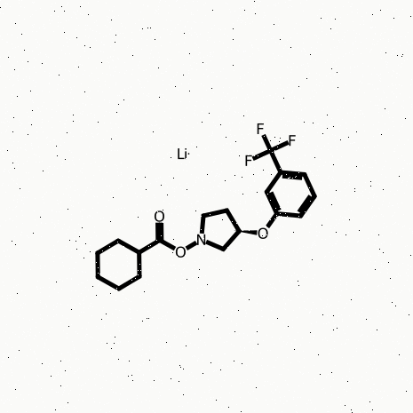 O=C(ON1CC[C@@H](Oc2cccc(C(F)(F)F)c2)C1)C1CCCCC1.[Li]